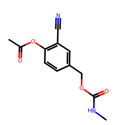 CNC(=O)OCc1ccc(OC(C)=O)c(C#N)c1